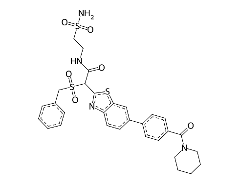 NS(=O)(=O)CCNC(=O)C(c1nc2ccc(-c3ccc(C(=O)N4CCCCC4)cc3)cc2s1)S(=O)(=O)Cc1ccccc1